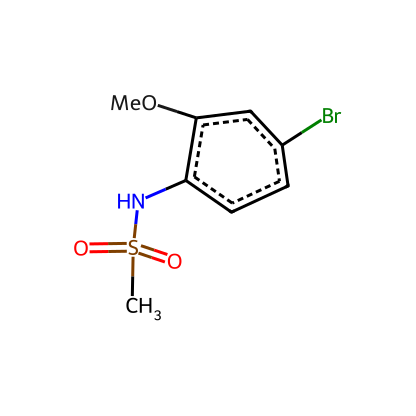 COc1cc(Br)ccc1NS(C)(=O)=O